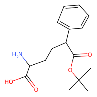 CC(C)(C)OC(=O)C(CCC(N)C(=O)O)c1ccccc1